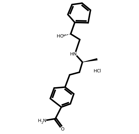 C[C@@H](CCc1ccc(C(N)=O)cc1)NC[C@H](O)c1ccccc1.Cl